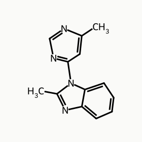 Cc1cc(-n2c(C)nc3ccccc32)ncn1